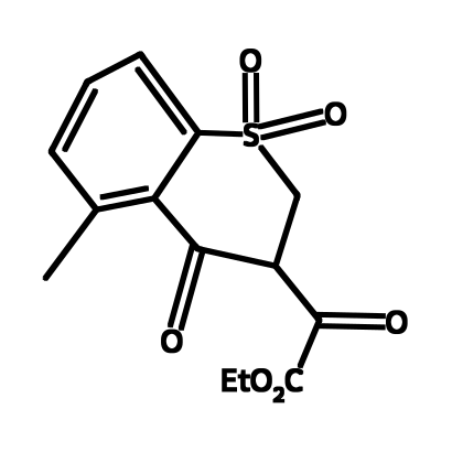 CCOC(=O)C(=O)C1CS(=O)(=O)c2cccc(C)c2C1=O